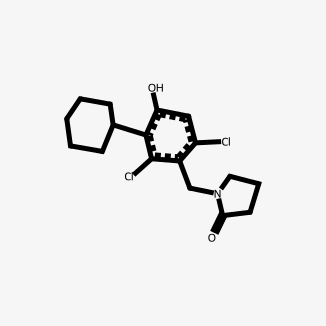 O=C1CCCN1Cc1c(Cl)cc(O)c(C2CCCCC2)c1Cl